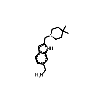 CC1(C)CCN(Cc2cc3ccc(CN)cc3[nH]2)CC1